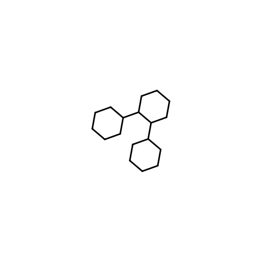 C1CCC(C2CCCCC2C2CCCCC2)CC1